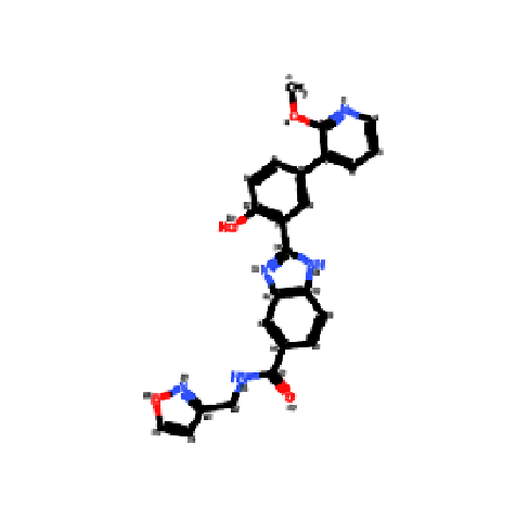 COc1ncccc1-c1ccc(O)c(-c2nc3cc(C(=O)NCc4ccon4)ccc3[nH]2)c1